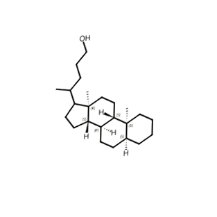 CC(CCCO)C1CC[C@H]2[C@@H]3CC[C@@H]4CCCC[C@]4(C)[C@H]3CC[C@]12C